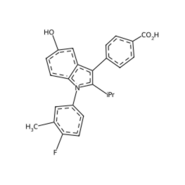 Cc1cc(-n2c(C(C)C)c(-c3ccc(C(=O)O)cc3)c3cc(O)ccc32)ccc1F